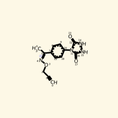 C#CCO/N=C(/C)c1ccc(-n2c(=O)[nH][nH]c2=O)cc1